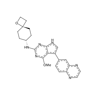 COc1nc(N[C@H]2CC[C@@]3(CCO3)CC2)nc2[nH]cc(-c3ccc4nccnc4c3)c12